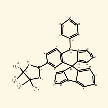 CC1(C)OB(c2ccc3c(c2)C2(c4ccccc4-c4ccccc42)c2ccccc2N3c2ccccc2)OC1(C)C